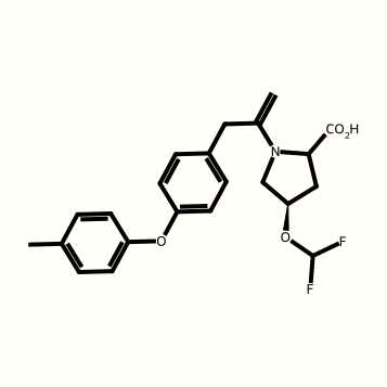 C=C(Cc1ccc(Oc2ccc(C)cc2)cc1)N1C[C@H](OC(F)F)CC1C(=O)O